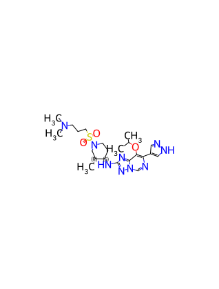 CC(C)Oc1c(-c2cn[nH]c2)ncn2nc(N[C@H]3CCN(S(=O)(=O)CCCN(C)C)C[C@H]3C)nc12